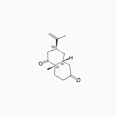 C=C(C)[C@@H]1CC(=O)[C@@]2(C)CCC(=O)C[C@H]2C1